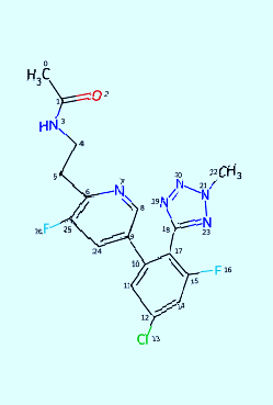 CC(=O)NCCc1ncc(-c2cc(Cl)cc(F)c2-c2nnn(C)n2)cc1F